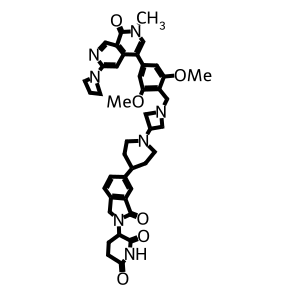 COc1cc(-c2cn(C)c(=O)c3cnc(N4CCC4)cc23)cc(OC)c1CN1CC(N2CCC(c3ccc4c(c3)C(=O)N(C3CCC(=O)NC3=O)C4)CC2)C1